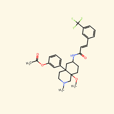 COC12CCC(NC(=O)/C=C/c3cccc(C(F)(F)F)c3)CC1(c1cccc(OC(C)=O)c1)CCN(C)C2